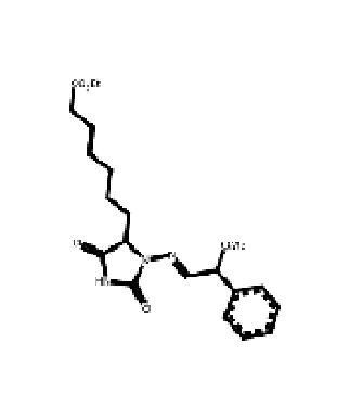 CCOC(=O)CCCCCCC1C(=O)NC(=O)N1/N=C/C(OC)c1ccccc1